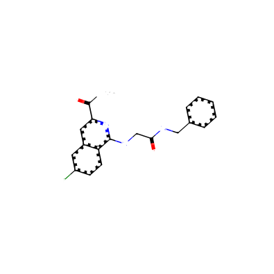 COC(=O)c1cc2cc(Cl)ccc2c(NCC(=O)NCc2ccccc2)n1